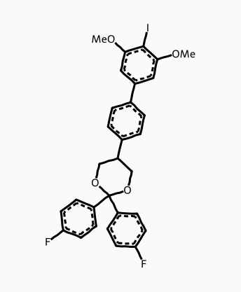 COc1cc(-c2ccc(C3COC(c4ccc(F)cc4)(c4ccc(F)cc4)OC3)cc2)cc(OC)c1I